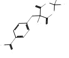 CCCC1(Cc2ccc(C(=O)OC)cc2)C(=O)OC(C)(C)OC1=O